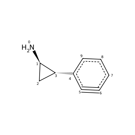 N[C@@H]1C[C@H]1c1c#cccc1